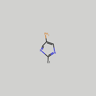 CCc1ncc(P)cn1